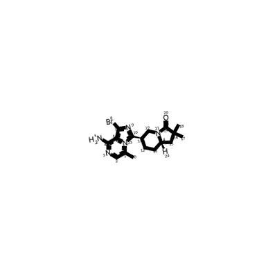 Cc1cnc(N)c2c(Br)nc([C@@H]3CC[C@H]4CC(C)(C)C(=O)N4C3)n12